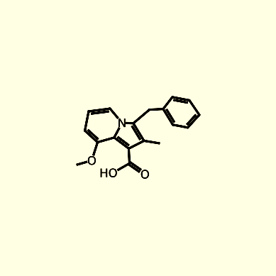 COc1cccn2c(Cc3ccccc3)c(C)c(C(=O)O)c12